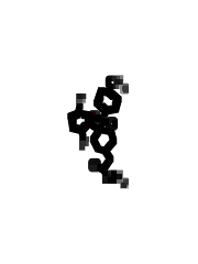 NC(=O)CC1CCC(c2cc(F)ccc2F)(S(=O)(=O)c2ccc(C(F)(F)F)cc2)CC1